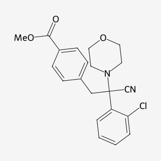 COC(=O)c1ccc(CC(C#N)(c2ccccc2Cl)N2CCOCC2)cc1